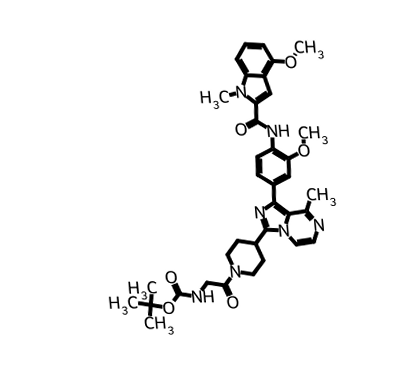 COc1cc(-c2nc(C3CCN(C(=O)CNC(=O)OC(C)(C)C)CC3)n3ccnc(C)c23)ccc1NC(=O)c1cc2c(OC)cccc2n1C